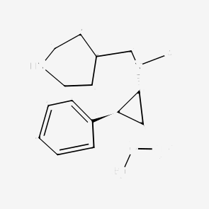 CC(=O)N(CC1CCNCC1)[C@@H]1C[C@H]1c1ccccc1.CC(C)(C)OC=O